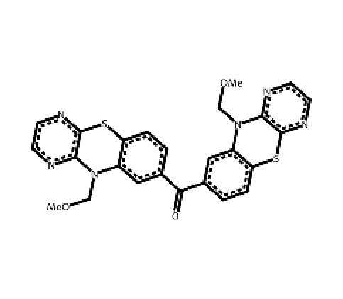 COCN1c2cc(C(=O)c3ccc4c(c3)N(COC)c3nccnc3S4)ccc2Sc2nccnc21